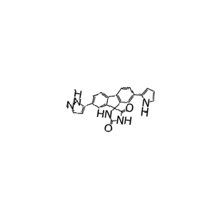 O=C1NC(=O)C2(N1)c1cc(-c3ccc[nH]3)ccc1-c1ccc(-c3ccn[nH]3)cc12